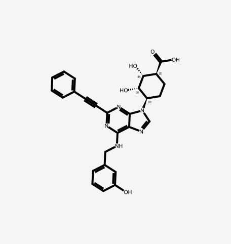 O=C(O)[C@H]1CC[C@@H](n2cnc3c(NCc4cccc(O)c4)nc(C#Cc4ccccc4)nc32)[C@H](O)[C@@H]1O